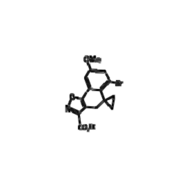 CCOC(=O)c1noc2c1CC1(CC1)c1c(Br)cc(OC)cc1-2